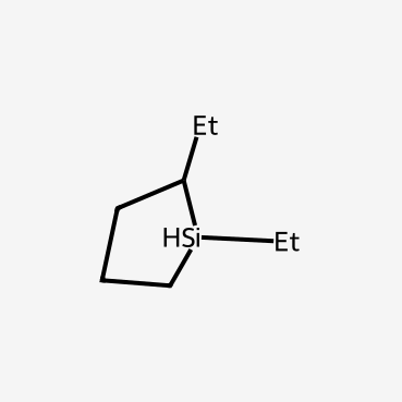 CCC1CCC[SiH]1CC